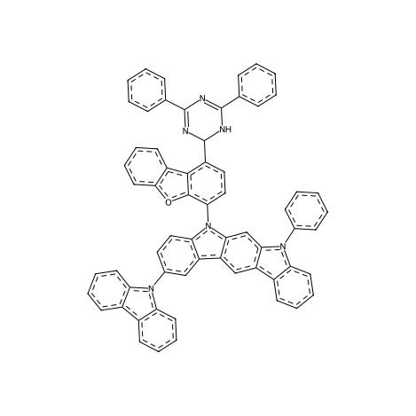 c1ccc(C2=NC(c3ccc(-n4c5ccc(-n6c7ccccc7c7ccccc76)cc5c5cc6c7ccccc7n(-c7ccccc7)c6cc54)c4oc5ccccc5c34)NC(c3ccccc3)=N2)cc1